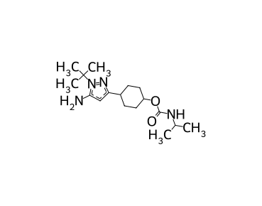 CC(C)NC(=O)OC1CCC(c2cc(N)n(C(C)(C)C)n2)CC1